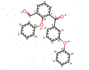 O=[C]c1cccc(C(=O)c2cccc(Oc3ccccc3)c2)c1Oc1ccccc1